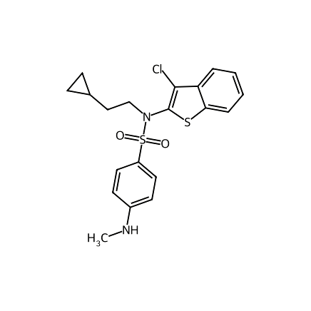 CNc1ccc(S(=O)(=O)N(CCC2CC2)c2sc3ccccc3c2Cl)cc1